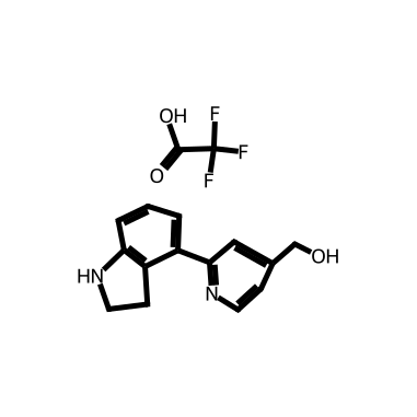 O=C(O)C(F)(F)F.OCc1ccnc(-c2cccc3c2CCN3)c1